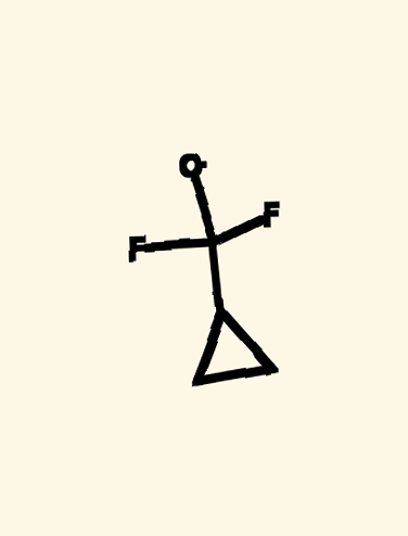 [O]C(F)(F)C1CC1